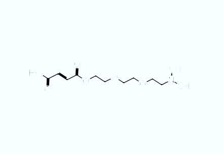 CN(C)CCOCCOCCOC(=O)C=CC(=O)O